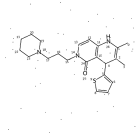 CC1=C(C)C(c2cccs2)c2c(ccn(CCCN3CCCCC3)c2=O)N1